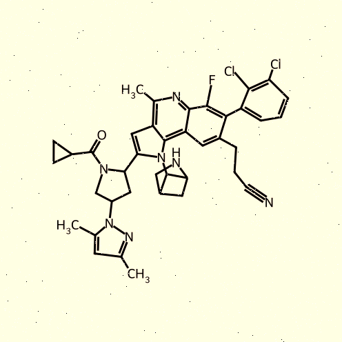 Cc1cc(C)n(C2CC(c3cc4c(C)nc5c(F)c(-c6cccc(Cl)c6Cl)c(CCC#N)cc5c4n3C3C4CNC3C4)N(C(=O)C3CC3)C2)n1